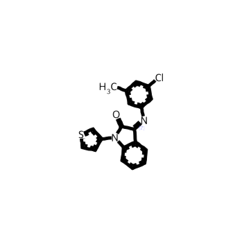 Cc1cc(Cl)cc(/N=C2\C(=O)N(c3ccsc3)c3ccccc32)c1